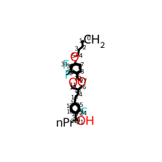 C=CCCCOc1ccc(C2OCC(CCc3ccc(C(O)CCC)c(F)c3)CO2)c(F)c1F